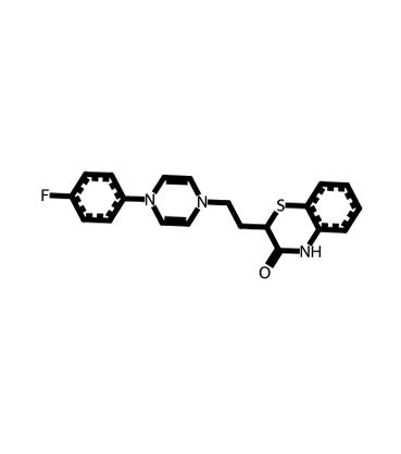 O=C1Nc2ccccc2SC1CCN1C=CN(c2ccc(F)cc2)C=C1